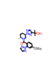 COc1ccc(C(=O)N2C[C@H](n3ncc(C(C)(C)O)n3)CC[C@H]2C)c(-n2nccn2)c1